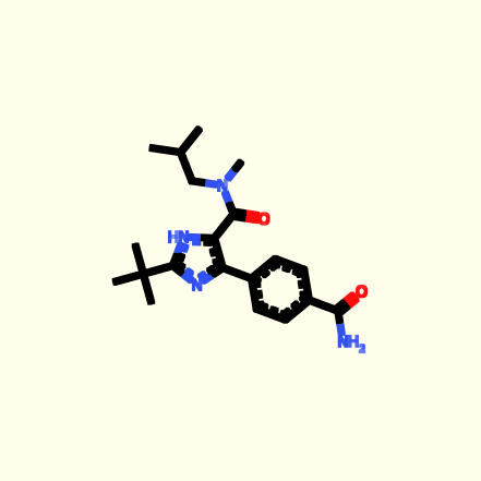 CC(C)CN(C)C(=O)c1[nH]c(C(C)(C)C)nc1-c1ccc(C(N)=O)cc1